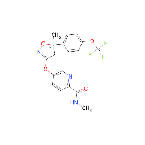 CNC(=O)c1ccc(OC2=NO[C@@](C)(c3ccc(OC(F)(F)F)cc3)C2)cn1